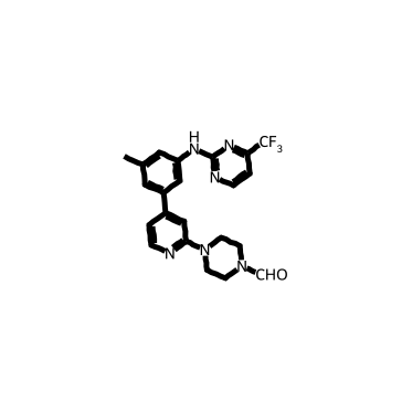 Cc1cc(Nc2nccc(C(F)(F)F)n2)cc(-c2ccnc(N3CCN(C=O)CC3)c2)c1